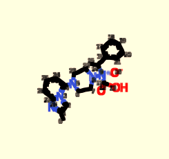 Cc1cn2c(N3CCN([N+]([O-])(C(=O)O)C(C)c4ccccc4)CC3)cccc2n1